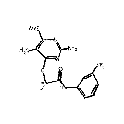 CSc1nc(N)nc(O[C@@H](C)C(=O)Nc2cccc(C(F)(F)F)c2)c1N